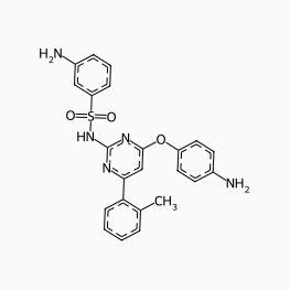 Cc1ccccc1-c1cc(Oc2ccc(N)cc2)nc(NS(=O)(=O)c2cccc(N)c2)n1